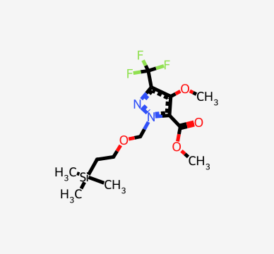 COC(=O)c1c(OC)c(C(F)(F)F)nn1COCC[Si](C)(C)C